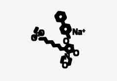 CCP(=O)([O-])CCCCCCCC1[C@H](N2CCOCC2)C(=O)C[C@H]1OCc1ccc(-c2ccccc2)cc1.[Na+]